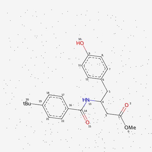 COC(=O)CC(Cc1ccc(O)cc1)NC(=O)c1ccc(C(C)(C)C)cc1